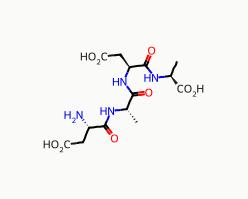 C[C@H](NC(=O)[C@H](CC(=O)O)NC(=O)[C@H](C)NC(=O)[C@@H](N)CC(=O)O)C(=O)O